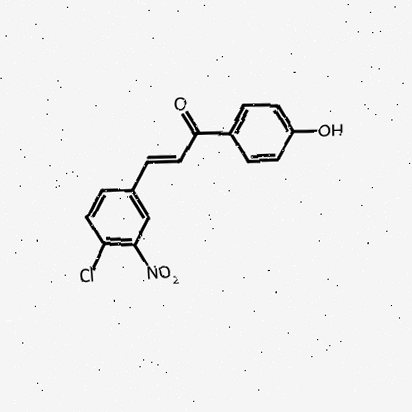 O=C(C=Cc1ccc(Cl)c([N+](=O)[O-])c1)c1ccc(O)cc1